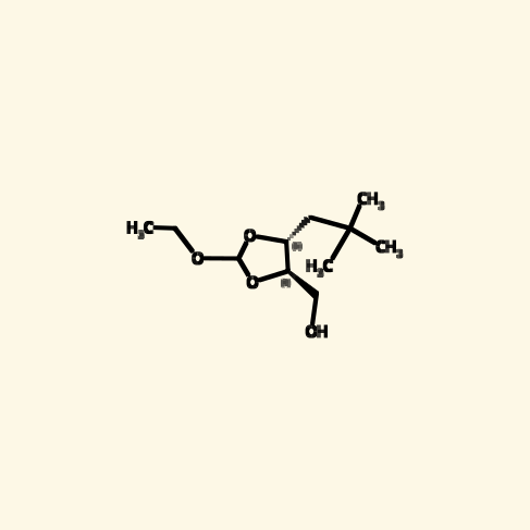 CCOC1O[C@H](CO)[C@@H](CC(C)(C)C)O1